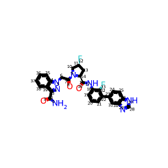 NC(=O)c1nn(CC(=O)N2C[C@H](F)C[C@H]2C(=O)Nc2cccc(-c3ccc4[nH]cnc4c3)c2F)c2ccccc12